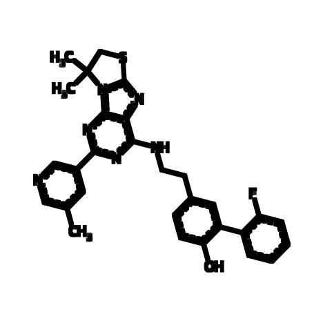 Cc1cncc(-c2nc(NCCc3ccc(O)c(-c4ccccc4F)c3)c3nc4n(c3n2)C(C)(C)CS4)c1